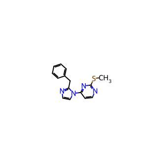 CSc1nccc(-n2ccnc2Cc2ccccc2)n1